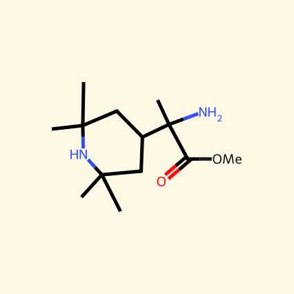 COC(=O)C(C)(N)C1CC(C)(C)NC(C)(C)C1